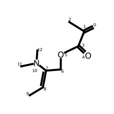 C=C(C)C(=O)OCC(=CC)N(C)C